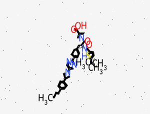 CCCCc1ccc(C2CN(c3cnc(C4=CC=C(C[C@H](NC(=O)c5ccc(C(C)(C)C)s5)C(=O)N5CC(C(=O)O)C5)CC4)nc3)C2)cc1